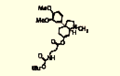 COc1ccc([C@@]23CCC(OC(=O)CCNC(=O)OC(C)(C)C)=C[C@@H]2N(C)CC3)cc1OC